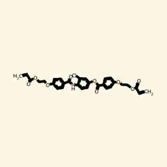 C=CC(=O)OCCOc1ccc(C(=O)Nc2ccc(OC(=O)c3ccc(OCCOC(=O)C=C)cc3)cc2Cl)cc1